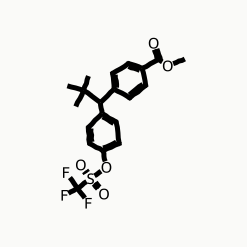 COC(=O)c1ccc(C(c2ccc(OS(=O)(=O)C(F)(F)F)cc2)C(C)(C)C)cc1